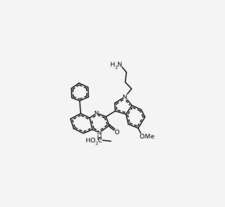 CC(=O)O.COc1ccc2c(c1)c(-c1nc3c(-c4ccccc4)cccc3[nH]c1=O)cn2CCCN